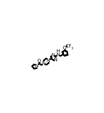 O=C(CN1CCN(c2cnc(NCc3cccc(OC(F)(F)F)c3)nc2)CC1)N1CCCC1